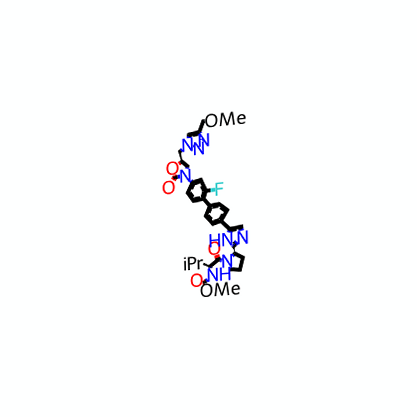 COCc1cn(C[C@H]2CN(c3ccc(-c4ccc(-c5cnc([C@@H]6CCCN6C(=O)[C@@H](NC(=O)OC)C(C)C)[nH]5)cc4)c(F)c3)C(=O)O2)nn1